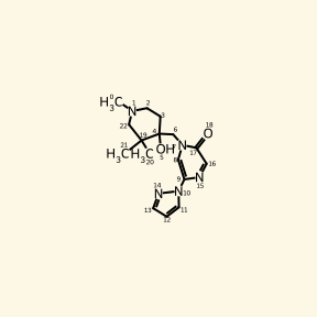 CN1CCC(O)(Cn2cc(-n3cccn3)ncc2=O)C(C)(C)C1